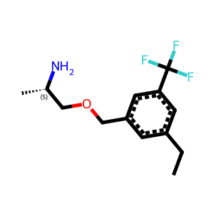 CCc1cc(COC[C@H](C)N)cc(C(F)(F)F)c1